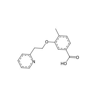 Cc1ccc(C(=O)O)cc1OCCc1ccccn1